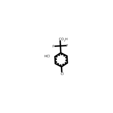 Cl.O=C(O)C(F)(F)c1ccc(Cl)cc1